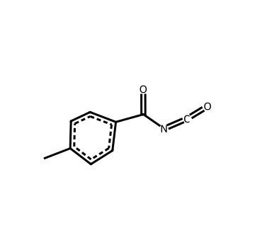 Cc1ccc(C(=O)N=C=O)cc1